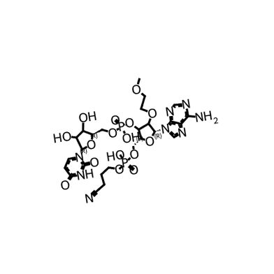 COCCOC1C(OP(=O)(O)OC[C@H]2O[C@@H](n3ccc(=O)[nH]c3=O)C(O)C2O)[C@@H](COP(=O)(O)OCCCC#N)O[C@H]1n1cnc2c(N)ncnc21